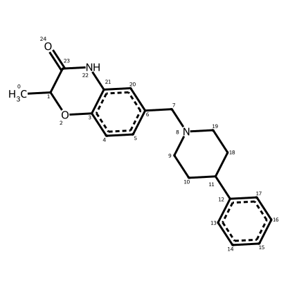 CC1Oc2ccc(CN3CCC(c4ccccc4)CC3)cc2NC1=O